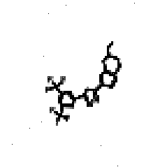 CCC1CCc2ccc(C3=NN=C(c4cc(C(F)(F)F)cc(C(F)(F)F)c4)C3)cc2C1